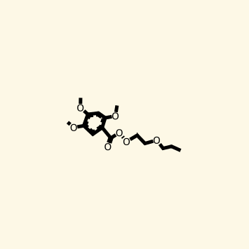 CCCOC[CH]OOC(=O)c1cc(OC)c(OC)cc1OC